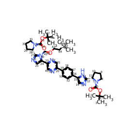 CC(C)(C)OC(=O)N1CCC[C@H]1c1ncc(-c2ccc(-c3cnc(-c4cnc([C@@H]5CCCN5C(=O)OC(C)(C)C)n4COCC[Si](C)(C)C)cn3)cc2)[nH]1